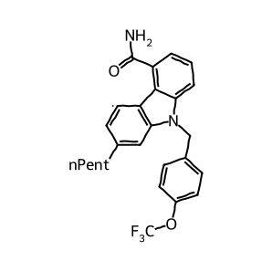 CCCCCc1c[c]c2c3c(C(N)=O)cccc3n(Cc3ccc(OC(F)(F)F)cc3)c2c1